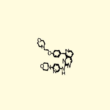 c1cc2cnc(Nc3ccc(N4CCOCC4)nc3)nc2c(-c2ccc(OCCN3CCOCC3)cc2)n1